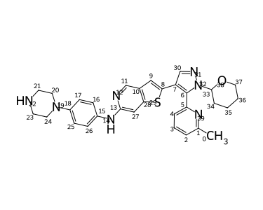 Cc1cccc(-c2c(-c3cc4cnc(Nc5ccc(N6CCNCC6)cc5)cc4s3)cnn2C2CCCCO2)n1